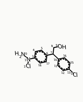 NN(Cl)c1ccc(C(CO)c2ccc(Cl)cc2)cc1